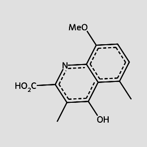 COc1ccc(C)c2c(O)c(C)c(C(=O)O)nc12